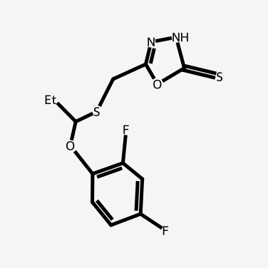 CCC(Oc1ccc(F)cc1F)SCc1n[nH]c(=S)o1